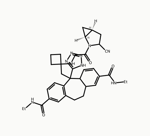 CCNC(=O)C1=CC2CCc3cc(C(=O)NCC)ccc3C(CC3(NCC(=O)N4C(C#N)C[C@@H]5C[C@@H]54)CCC3)(c3nnn[nH]3)C2C=C1